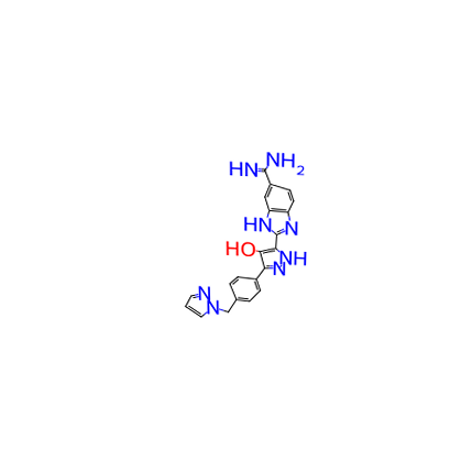 N=C(N)c1ccc2nc(-c3[nH]nc(-c4ccc(Cn5cccn5)cc4)c3O)[nH]c2c1